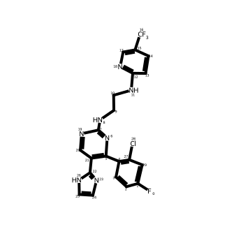 Fc1ccc(-c2nc(NCCNc3ccc(C(F)(F)F)cn3)ncc2-c2ncc[nH]2)c(Cl)c1